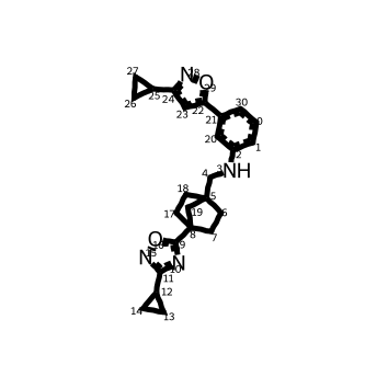 c1cc(NCC23CCC(c4nc(C5CC5)no4)(CC2)C3)cc(-c2cc(C3CC3)no2)c1